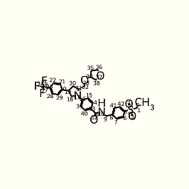 CCS(=O)(=O)c1ccc(CNC(=O)c2ccc(N3CC(c4ccc(C(F)(F)F)cc4)C[C@H]3CO[C@H]3CCOC3)cc2)cc1